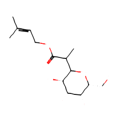 CC(C)=CCOC(=O)C(C)C1O[C@H](CO)[C@H](O)[C@H](O)[C@H]1O